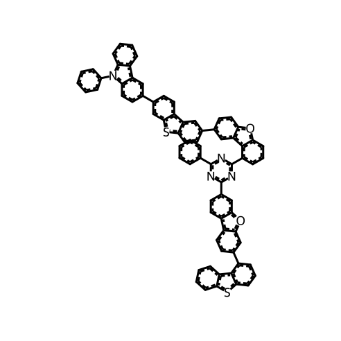 c1ccc(-c2nc(-c3ccc4c(c3)oc3cc(-c5cccc6sc7ccccc7c56)ccc34)nc(-c3cccc4oc5ccc(-c6ccc7sc8cc(-c9ccc%10c(c9)c9ccccc9n%10-c9ccccc9)ccc8c7c6)cc5c34)n2)cc1